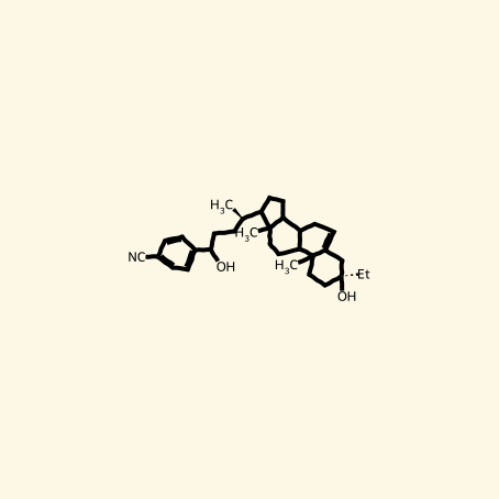 CC[C@]1(O)CCC2(C)C(=CCC3C2CCC2(C)C3CCC2[C@H](C)CCC(O)c2ccc(C#N)cc2)C1